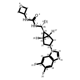 CC[C@@H](NC(=O)NC1COC1)[C@H]1[C@@H]2C[C@@H](n3cnc4cc(F)c(F)cc43)C[C@@H]21